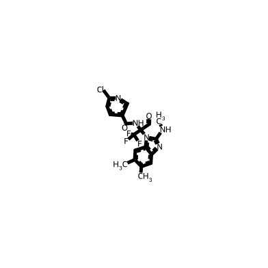 CNc1nc2cc(C)c(C)cc2n1C(C=O)(NC(=O)c1ccc(Cl)nc1)C(F)(F)F